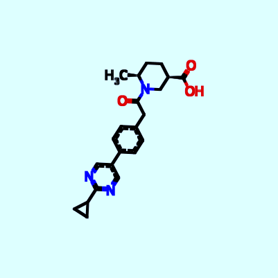 C[C@H]1CC[C@@H](C(=O)O)CN1C(=O)Cc1ccc(-c2cnc(C3CC3)nc2)cc1